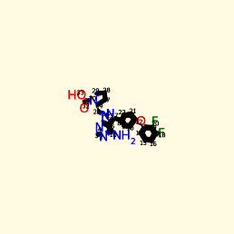 Nc1ncnc2c1c(-c1ccc(Oc3cccc(F)c3F)cc1)nn2C[C@H]1CCCN1C(=O)O